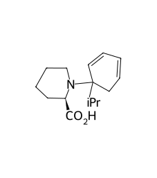 CC(C)C1(N2CCCC[C@@H]2C(=O)O)C=CC=CC1